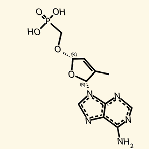 CC1=C[C@@H](OCP(=O)(O)O)O[C@H]1n1cnc2c(N)ncnc21